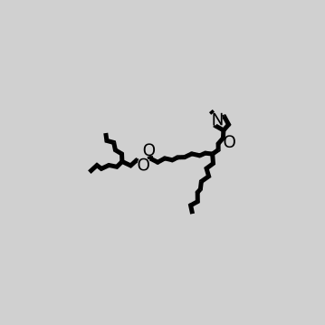 CCCCCCCCCC(CCCCCCCCC(=O)OCCC(CCCCC)CCCCC)CCC(=O)C1CCN(C)C1